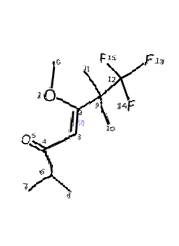 CO/C(=C\C(=O)C(C)C)C(C)(C)C(F)(F)F